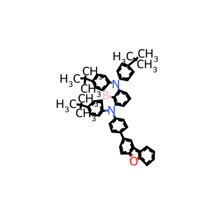 CC(C)(C)c1ccc(N2c3ccc(C(C)(C)C)cc3B3c4cc(C(C)(C)C)ccc4N(c4ccc(-c5ccc6oc7ccccc7c6c5)cc4)c4cccc2c43)cc1